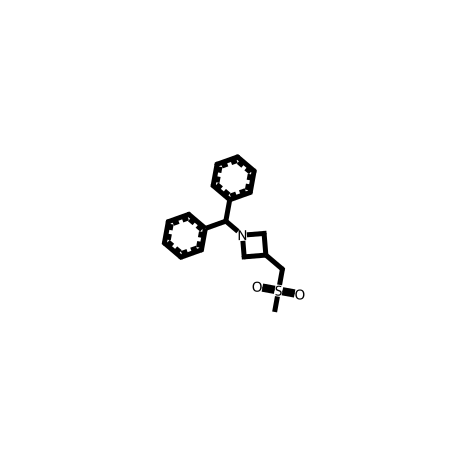 CS(=O)(=O)CC1CN(C(c2ccccc2)c2ccccc2)C1